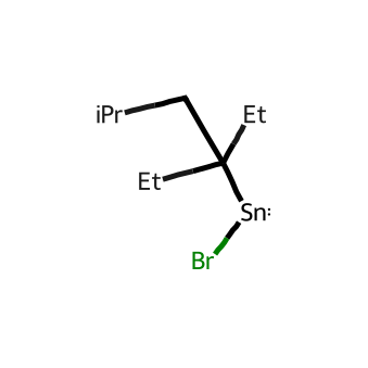 CC[C](CC)(CC(C)C)[Sn][Br]